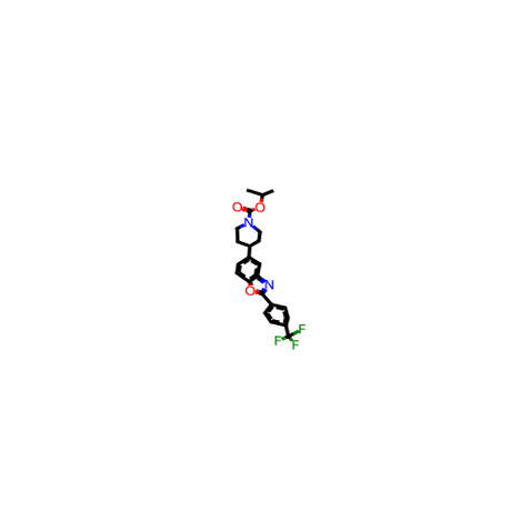 CC(C)OC(=O)N1CCC(c2ccc3oc(-c4ccc(C(F)(F)F)cc4)nc3c2)CC1